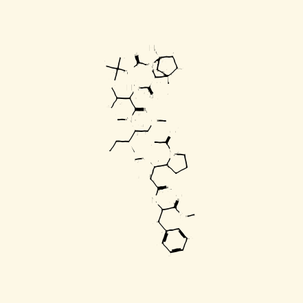 CC[C@H](C)[C@@H]([C@@H](CC(=O)N1CCCC1[C@H](OC)[C@@H](C)C(=O)NC(Cc1ccccc1)C(=O)OC)OC)N(C)C(=O)C(NC(=O)[C@@H]1[C@H]2CC[C@H](C2)N1C(=O)OC(C)(C)C)C(C)C